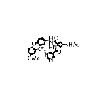 COc1ccc(Oc2ccc(CNC(=O)C3(NC(=O)c4cncnc4)CC(NC(C)=O)C3)cc2)c(C(F)(F)F)c1